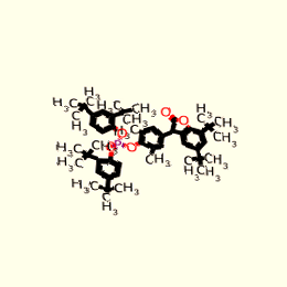 Cc1cc(C2C(=O)Oc3c2cc(C(C)(C)C)cc3C(C)(C)C)cc(C)c1OP(Oc1ccc(C(C)(C)C)cc1C(C)(C)C)Oc1ccc(C(C)(C)C)cc1C(C)(C)C